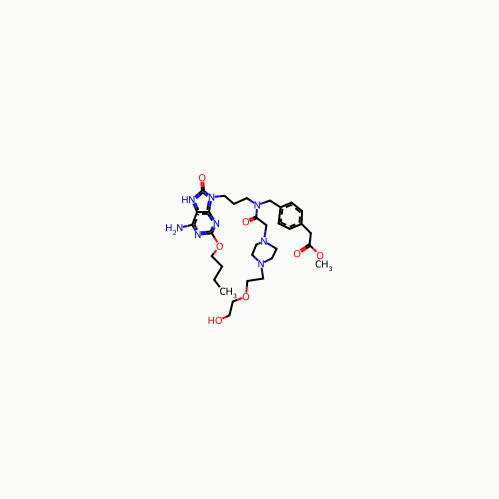 CCCCOc1nc(N)c2[nH]c(=O)n(CCCN(Cc3ccc(CC(=O)OC)cc3)C(=O)CN3CCN(CCOCCO)CC3)c2n1